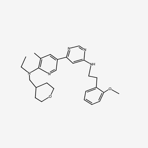 CCN(CC1CCOCC1)c1ncc(-c2cc(NCCc3ccccc3OC)ncn2)cc1C